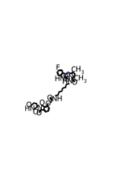 CC1=C(/C=C2\C(=O)Nc3ccc(F)cc32)NC(C)(C(=O)NCCCCCCCCNC(=O)COc2cccc3c2C(=O)N(C2CCC(=O)NC2=O)C3=O)C1